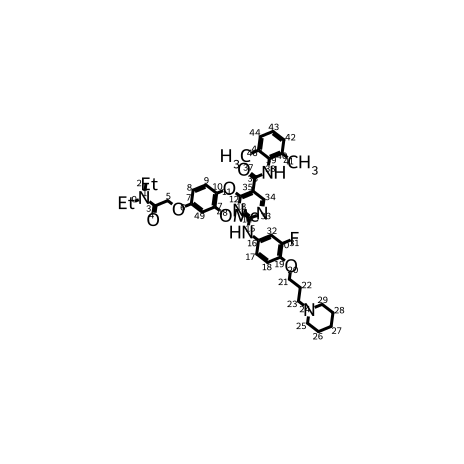 CCN(CC)C(=O)COc1ccc(Oc2nc(Nc3ccc(OCCCN4CCCCC4)c(F)c3)ncc2C(=O)Nc2c(C)cccc2C)c(OC)c1